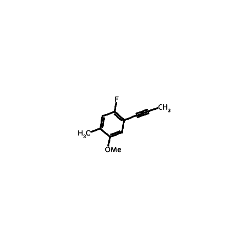 CC#Cc1cc(OC)c(C)cc1F